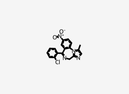 Cc1cnc2n1-c1ccc([N+](=O)[O-])cc1C(c1ccccc1Cl)=NC2